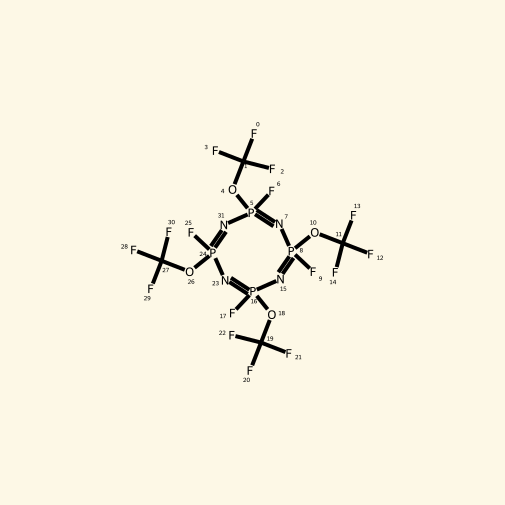 FC(F)(F)OP1(F)=NP(F)(OC(F)(F)F)=NP(F)(OC(F)(F)F)=NP(F)(OC(F)(F)F)=N1